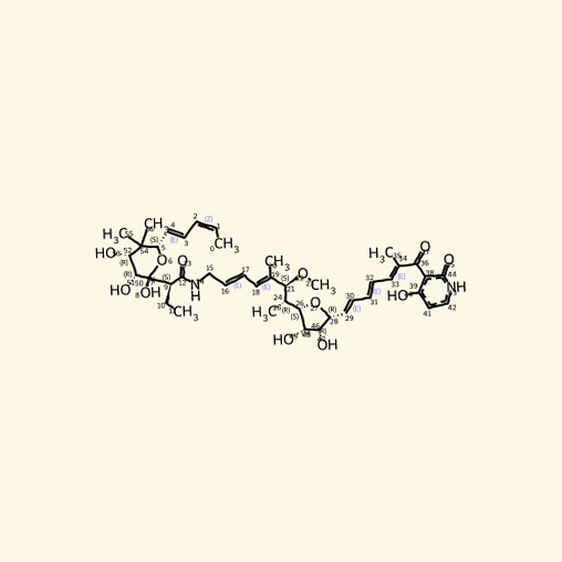 C/C=C\C=C\[C@@H]1O[C@](O)([C@H](CC)C(=O)NC/C=C/C=C(\C)[C@@H](OC)[C@@H](C)[C@@H]2O[C@H](/C=C/C=C/C=C(\C)C(=O)c3c(O)cc[nH]c3=O)[C@H](O)[C@@H]2O)[C@H](O)[C@H](O)C1(C)C